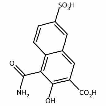 NC(=O)c1c(O)c(C(=O)O)cc2cc(S(=O)(=O)O)ccc12